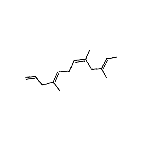 C=CCC(C)=CCC=C(C)CC(C)=CC